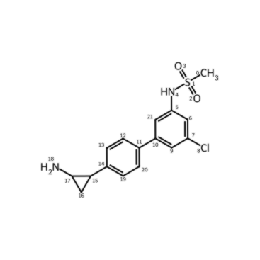 CS(=O)(=O)Nc1cc(Cl)cc(-c2ccc(C3CC3N)cc2)c1